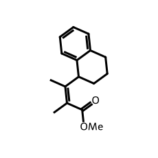 COC(=O)C(C)=C(C)C1CCCc2ccccc21